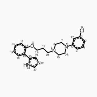 Clc1cccc(N2CCN(CCCOc3ccccc3-c3cnc[nH]3)CC2)c1